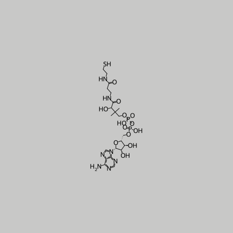 CC(C)(COP(=O)(O)OP(=O)(O)OC[C@H]1O[C@@H](n2cnc3c(N)ncnc32)[C@H](O)[C@@H]1O)C(O)C(=O)NCCC(=O)NCCS